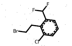 FC(F)c1cccc(Cl)c1CCBr